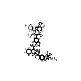 CCC(=O)N[C@H](C)[C@@H](C(=O)N1CCN(C)CC1)c1ccc(NC(=O)[C@@H](NC(=O)C(F)(F)c2cccc(NS(C)(=O)=O)c2)C2CCCCC2)c(F)c1